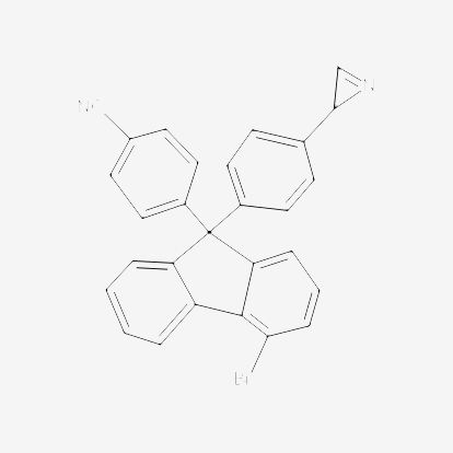 N#Cc1ccc(C2(c3ccc(C4C=N4)cc3)c3ccccc3-c3c(Br)cccc32)cc1